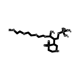 COCCOCCOCCOC(C)C(CO[Si](C)(C)C(C)(C)C)C1CNCCS1(=O)=O